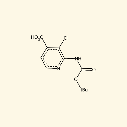 CC(C)(C)OC(=O)Nc1nccc(C(=O)O)c1Cl